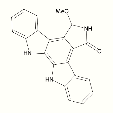 COC1NC(=O)c2c1c1c3ccccc3[nH]c1c1[nH]c3ccccc3c21